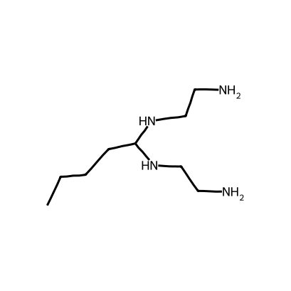 CCCCC(NCCN)NCCN